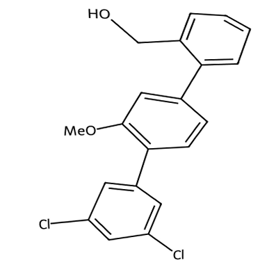 COc1cc(-c2ccccc2CO)ccc1-c1cc(Cl)cc(Cl)c1